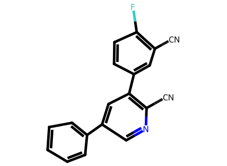 N#Cc1cc(-c2cc(-c3ccccc3)cnc2C#N)ccc1F